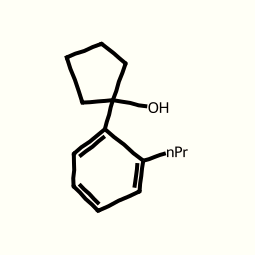 [CH2]CCc1ccccc1C1(O)CCCC1